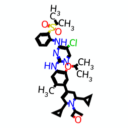 Cc1cc(Nc2ncc(Cl)c(Nc3ccccc3S(=O)(=O)C(C)C)n2)c(OC(C)C)cc1C1=CC(C2CC2)N(C2COC2)C(C2CC2)C1